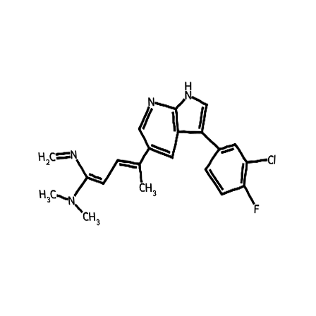 C=N/C(=C\C=C(/C)c1cnc2[nH]cc(-c3ccc(F)c(Cl)c3)c2c1)N(C)C